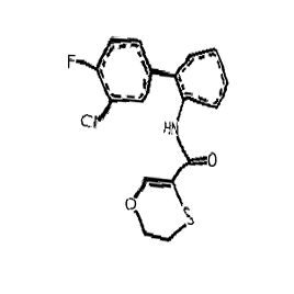 O=C(Nc1ccccc1-c1ccc(F)c(Cl)c1)C1=COCCS1